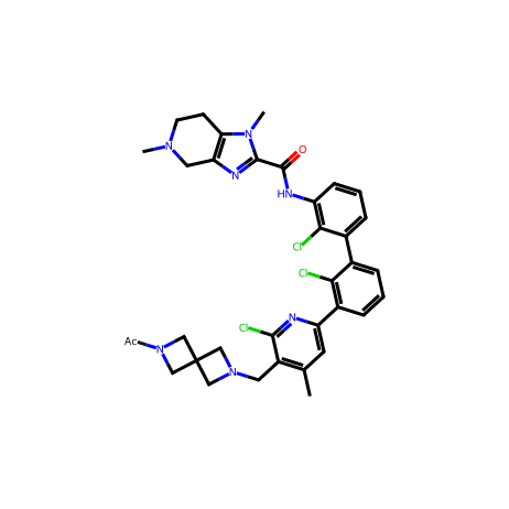 CC(=O)N1CC2(CN(Cc3c(C)cc(-c4cccc(-c5cccc(NC(=O)c6nc7c(n6C)CCN(C)C7)c5Cl)c4Cl)nc3Cl)C2)C1